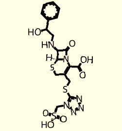 O=C(O)C1=C(CSc2nnnn2CS(=O)(=O)O)CS[C@H]2C(NCC(O)c3ccccc3)C(=O)N12